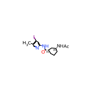 CC(=O)N[C@@H]1CCC[C@H](C(=O)Nc2cc(I)c(C)cn2)C1